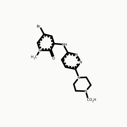 Cn1cc(Br)cc(Nc2ccc(N3CCN(C(=O)O)CC3)nn2)c1=O